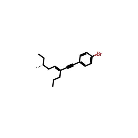 CCC/C(C#Cc1ccc(Br)cc1)=C\C[C@H](C)CC